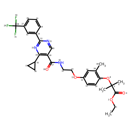 CCOC(=O)C(C)(C)Oc1ccc(OCCNC(=O)c2cnc(-c3cccc(C(F)(F)F)c3)nc2C2CC2)cc1C